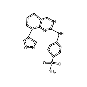 NS(=O)(=O)c1ccc(Nc2ncc3cccc(-c4cnoc4)c3n2)cc1